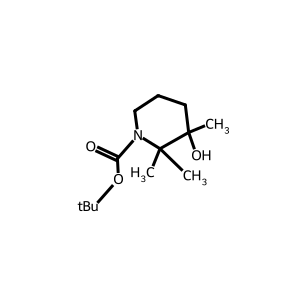 CC(C)(C)OC(=O)N1CCCC(C)(O)C1(C)C